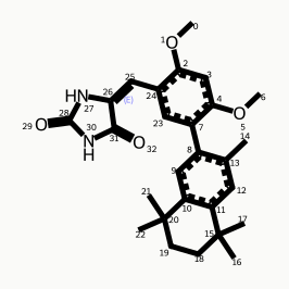 COc1cc(OC)c(-c2cc3c(cc2C)C(C)(C)CCC3(C)C)cc1/C=C1/NC(=O)NC1=O